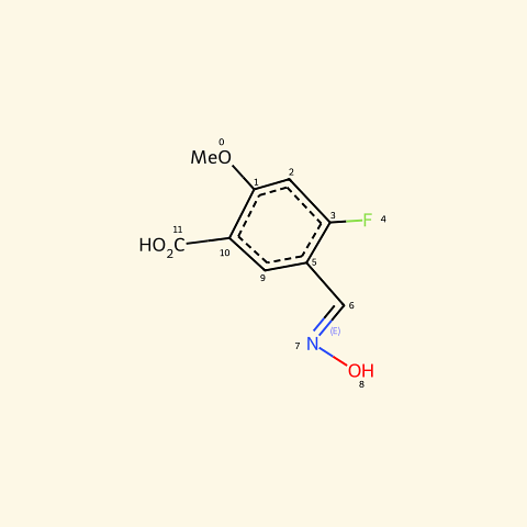 COc1cc(F)c(/C=N/O)cc1C(=O)O